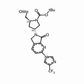 COC[C@@H]1C[C@@H](N2Cc3ccc(-n4cnc(C(F)(F)F)c4)nc3C2=O)CN1C(=O)OC(C)(C)C